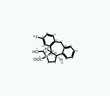 O=C([O-])[N+]1(CO)CC[C@@H]2c3ccccc3Cc3ccc(F)cc3[C@H]21